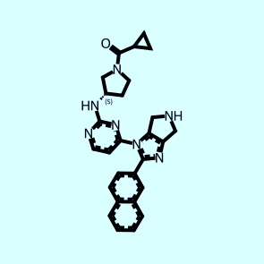 O=C(C1CC1)N1CC[C@H](Nc2nccc(-n3c(-c4ccc5ccccc5c4)nc4c3CNC4)n2)C1